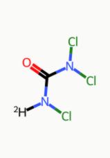 [2H]N(Cl)C(=O)N(Cl)Cl